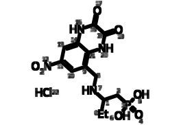 CCC(CP(=O)(O)O)NCc1cc([N+](=O)[O-])cc2[nH]c(=O)c(=O)[nH]c12.Cl